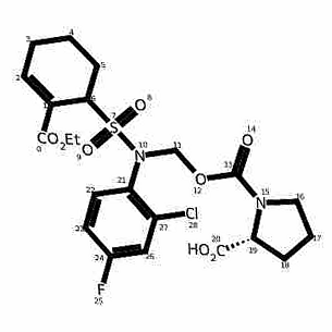 CCOC(=O)C1=CCCCC1S(=O)(=O)N(COC(=O)N1CCC[C@@H]1C(=O)O)c1ccc(F)cc1Cl